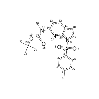 Cc1ccc(S(=O)(=O)n2ccc3ccc(N(C)C(=O)OC(C)(C)C)nc32)cc1